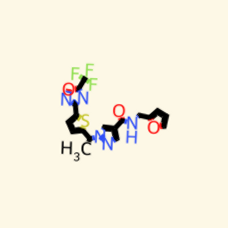 CC(c1ccc(-c2noc(C(F)(F)F)n2)s1)n1cc(C(=O)NCc2ccco2)cn1